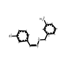 CCc1cccc(/[C]=N\OCc2cccc(C)c2)c1